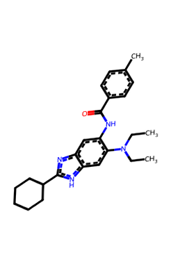 CCN(CC)c1cc2[nH]c(C3CCCCC3)nc2cc1NC(=O)c1ccc(C)cc1